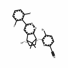 CC1(C)[C@H]2CC[C@]1(c1nc(C#N)ccc1Br)c1nnc(-c3c(F)cccc3F)cc12